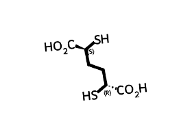 O=C(O)[C@H](S)CC[C@H](S)C(=O)O